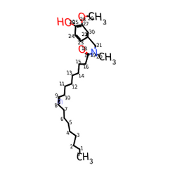 CCCCCCCC/C=C\CCCCCCCC(=O)N(C)Cc1ccc(O)c(OC)c1